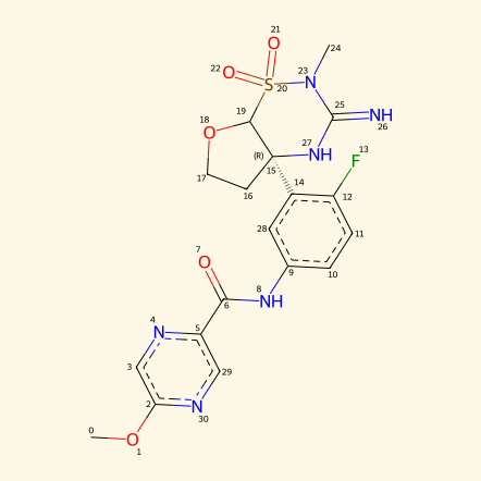 COc1cnc(C(=O)Nc2ccc(F)c([C@]34CCOC3S(=O)(=O)N(C)C(=N)N4)c2)cn1